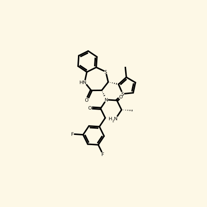 Cc1ccsc1[C@H]1Sc2ccccc2NC(=O)[C@H]1N(C(=O)Cc1cc(F)cc(F)c1)C(=O)[C@H](C)N